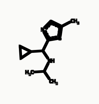 Cc1cnc(C(NC(C)C)C2CC2)s1